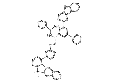 CC1(C)c2cc3ccccc3cc2-c2c(-c3cccc(/C=C/C(NC(N)c4ccccc4)c4cc(-c5ccccc5)cc(-c5ccc6sc7ccccc7c6c5)c4)c3)cccc21